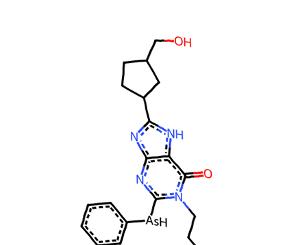 CCCn1c([AsH]c2ccccc2)nc2nc(C3CCC(CO)C3)[nH]c2c1=O